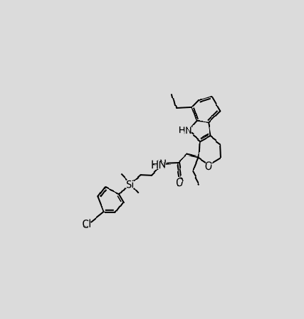 CCc1cccc2c3c([nH]c12)C(CC)(CC(=O)NCC[Si](C)(C)c1ccc(Cl)cc1)OCC3